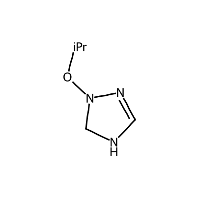 CC(C)ON1CNC=N1